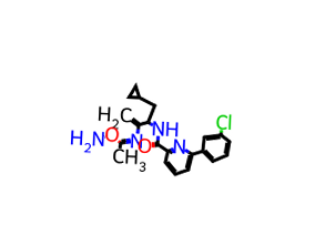 C=C(/N=C(/C)ON)C(CC1CC1)NC(=O)c1cccc(-c2cccc(Cl)c2)n1